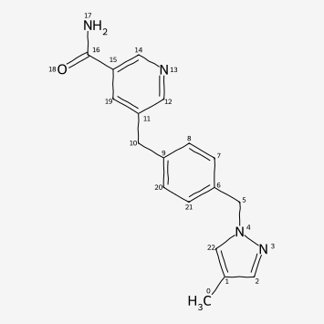 Cc1cnn(Cc2ccc(Cc3cncc(C(N)=O)c3)cc2)c1